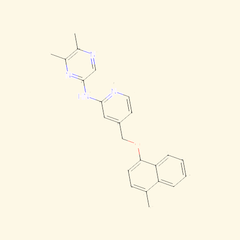 Cc1ncc(Nc2cc(COc3ccc(C)c4ccccc34)ccn2)nc1C